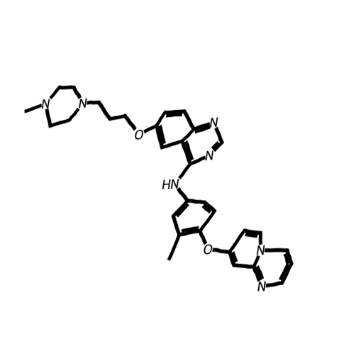 Cc1cc(Nc2ncnc3ccc(OCCCN4CCN(C)CC4)cc23)ccc1OC1=CC2=NC=C=CN2C=C1